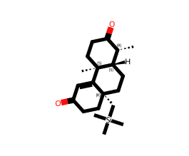 C[C@H]1C(=O)CC[C@]2(C)C3=CC(=O)CC[C@]3(C[Si](C)(C)C)CC[C@@H]12